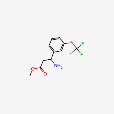 COC(=O)CC(N)c1cccc(SC(F)(F)F)c1